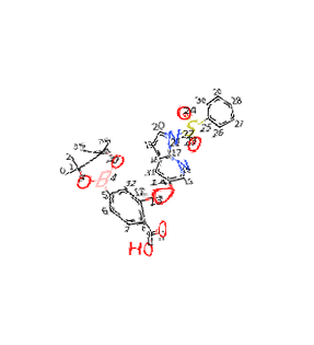 CC1(C)OB(c2ccc(C(=O)O)c(Oc3cnc4c(ccn4S(=O)(=O)c4ccccc4)c3)c2)OC1(C)C